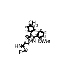 CCOC(=N)CCn1nc(-c2ccccc2OC)n(-c2ccc(C)cc2)c1=S